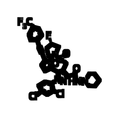 O=C(NN1CCCCC1)c1nn(-c2ccc(Cl)cc2Cl)c(-c2ccc(C#Cc3ccc(C(F)(F)F)cc3)s2)c1CS(=O)(=O)N1CC[C@H](F)C1